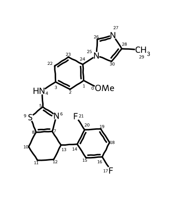 COc1cc(Nc2nc3c(s2)CCCC3c2cc(F)ccc2F)ccc1-n1cnc(C)c1